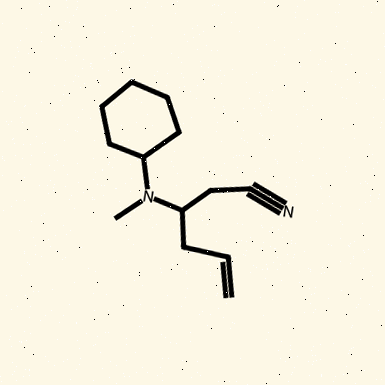 C=CCC(CC#N)N(C)C1CCCCC1